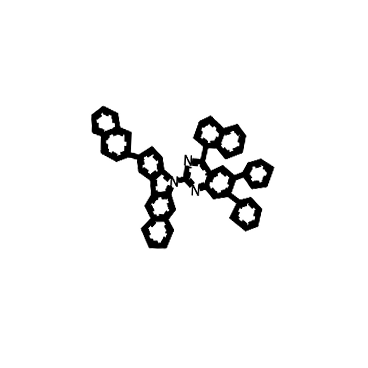 c1ccc(-c2cc3nc(-n4c5ccc(-c6ccc7ccccc7c6)cc5c5cc6ccccc6cc54)nc(-c4cccc5ccccc45)c3cc2-c2ccccc2)cc1